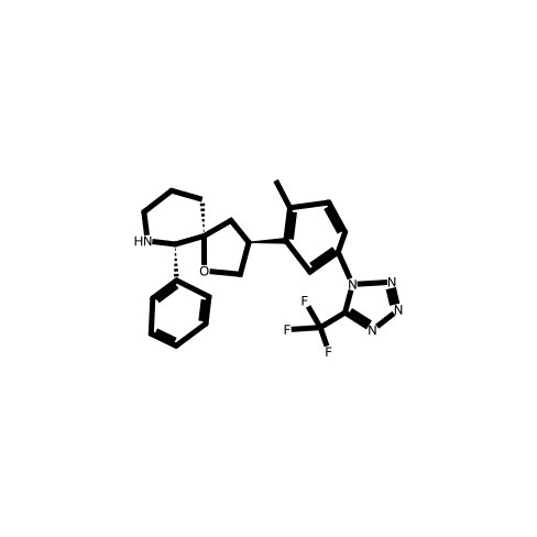 Cc1ccc(-n2nnnc2C(F)(F)F)cc1[C@H]1CO[C@]2(CCCN[C@H]2c2ccccc2)C1